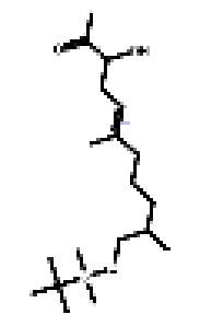 CC(=O)C(O)C/C=C(\C)CCCC(C)CO[Si](C)(C)C(C)(C)C